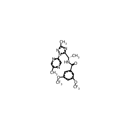 Cc1cnc(-n2nc(C)nc2[C@H](C)NC(=O)c2cc(OC(F)(F)F)cc(OC(F)(F)F)c2)cn1